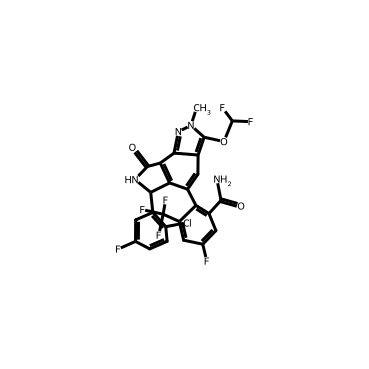 Cn1nc2c3c(c(-c4c(C(N)=O)cc(F)cc4C(F)(F)F)cc2c1OC(F)F)C(c1cc(F)ccc1Cl)NC3=O